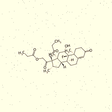 CCC(=O)OCC(=O)[C@@]1(OC(=O)CC)[C@@H](C)C[C@H]2[C@@H]3CCC4=CC(=O)CC[C@]4(C)[C@@]3(F)[C@@H](O)C[C@@]21C